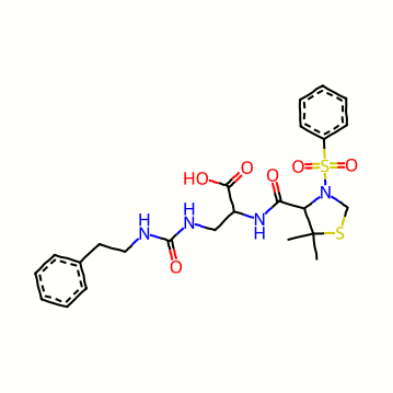 CC1(C)SCN(S(=O)(=O)c2ccccc2)C1C(=O)NC(CNC(=O)NCCc1ccccc1)C(=O)O